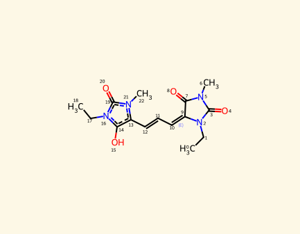 CCN1C(=O)N(C)C(=O)/C1=C\C=Cc1c(O)n(CC)c(=O)n1C